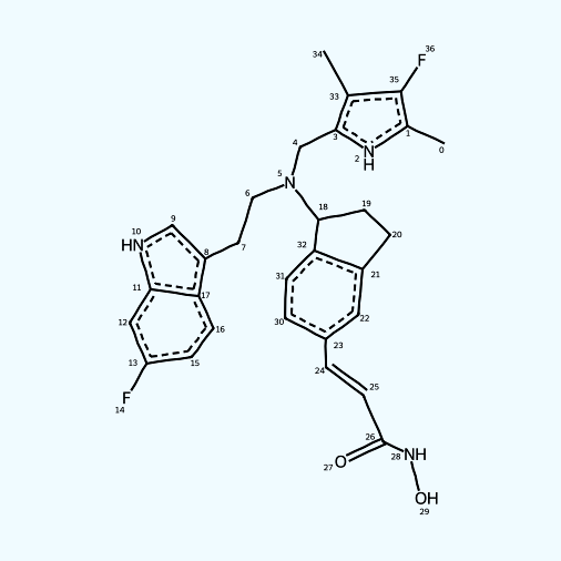 Cc1[nH]c(CN(CCc2c[nH]c3cc(F)ccc23)C2CCc3cc(/C=C/C(=O)NO)ccc32)c(C)c1F